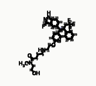 CN(CCO)C(=O)CCCNCCOc1ccc(/C(=C(/CC(F)(F)F)c2ccccc2)c2ccc3[nH]nc(F)c3c2)cn1